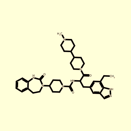 CCc1cc(CC(NC(=O)N2CCC(N3CCc4ccccc4NC3=O)CC2)C(=O)N2CCC(C3CCN(C)CC3)CC2)cc2cn[nH]c12